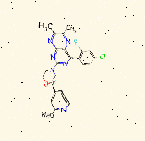 COc1cc([C@@H]2CN(c3nc(-c4ccc(Cl)cc4F)c4nc(C)c(C)nc4n3)CCO2)ccn1